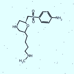 CNCCCCC1CNC[C@@H](CS(=O)(=O)c2ccc(N)cc2)O1